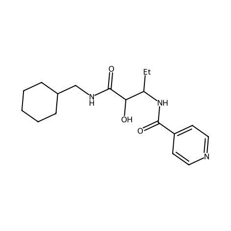 CCC(NC(=O)c1ccncc1)C(O)C(=O)NCC1CCCCC1